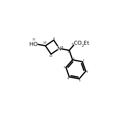 CCOC(=O)C(c1ccccc1)N1CC(O)C1